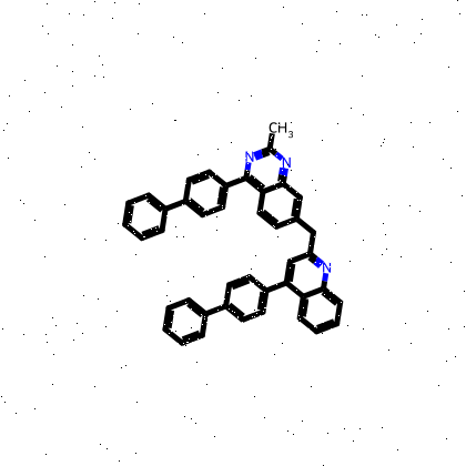 Cc1nc(-c2ccc(-c3ccccc3)cc2)c2ccc(Cc3cc(-c4ccc(-c5ccccc5)cc4)c4ccccc4n3)cc2n1